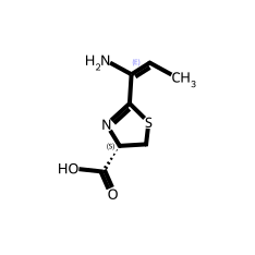 C/C=C(/N)C1=N[C@@H](C(=O)O)CS1